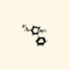 CC(C)N[C@@H]1CCN(C(C)C)[C@H](c2ccccc2)C1